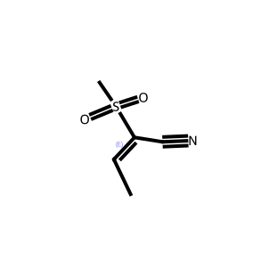 C/C=C(\C#N)S(C)(=O)=O